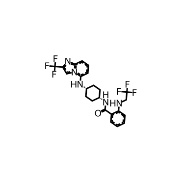 O=C(N[C@H]1CC[C@@H](Nc2cccc3nc(C(F)(F)F)cn23)CC1)c1ccccc1NCC(F)(F)F